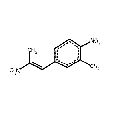 C/C(=C\c1ccc([N+](=O)[O-])c(C)c1)[N+](=O)[O-]